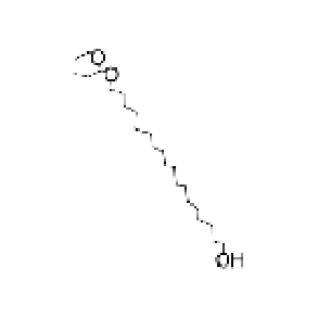 OCCCCCCCCCCCCCCCCCCOC1CCCCO1